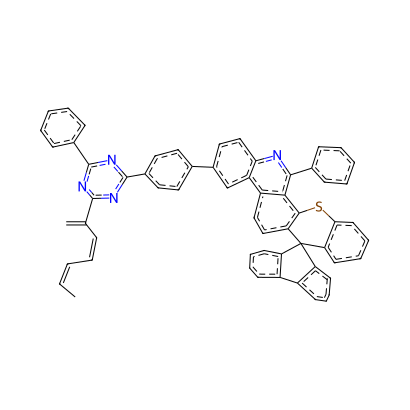 C=C(/C=C\C=C/C)c1nc(-c2ccccc2)nc(-c2ccc(-c3ccc4nc(-c5ccccc5)c5c6c(ccc5c4c3)C3(c4ccccc4S6)c4ccccc4-c4ccccc43)cc2)n1